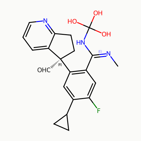 C/N=C(/NC(O)(O)O)c1cc(F)c(C2CC2)cc1[C@]1(C=O)CCc2ncccc21